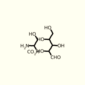 NC(CO)C(=O)O.O=CC(O)C(O)C(O)CO